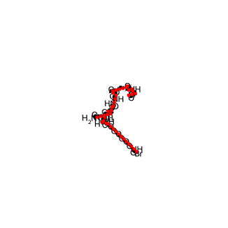 CC(=O)O[C@@H](C)/C=C\C(=O)N[C@@H]1C[C@H](C)[C@H](C/C=C(C)/C=C/[C@@H]2C[C@]3(CO3)C[C@@H](CC(=O)NCCNC(=O)OCc3ccc(NC(=O)[C@H](CCCNC(N)=O)NC(=O)[C@@H](NC(=O)CCOCCOCCOCCOCCOCCOCCNC(=O)CBr)C(C)C)cc3)O2)O[C@@H]1C